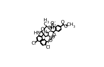 COC(=O)c1ccc(C(=O)C[C@H]2[C@@H]([N+](=O)[O-])[C@H](c3cccc(Cl)c3F)[C@]3(C(=O)Nc4cc(Cl)ccc43)N2CC(C)C)c([N+](=O)[O-])c1